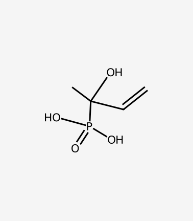 C=CC(C)(O)P(=O)(O)O